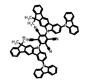 CC1(C)c2ccccc2-c2cc3c4cc(-n5c6ccccc6c6ccccc65)ccc4n(-c4c(C#N)c(C#N)c(-n5c6ccc(-n7c8ccccc8c8ccccc87)cc6c6cc7c(cc65)C(C)(C)c5ccccc5-7)c(C#N)c4C#N)c3cc21